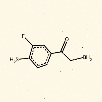 BCC(=O)c1ccc(B)c(F)c1